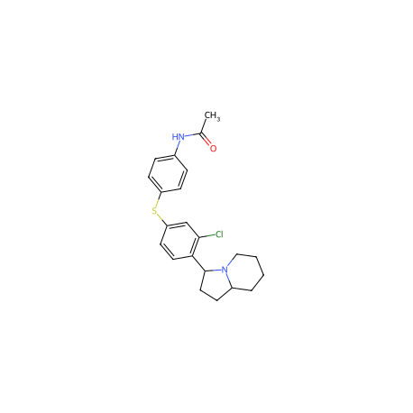 CC(=O)Nc1ccc(Sc2ccc(C3CCC4CCCCN43)c(Cl)c2)cc1